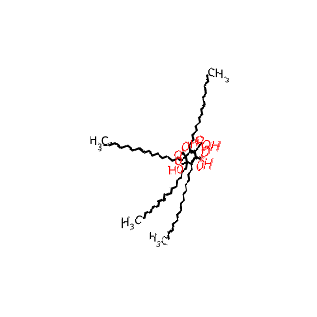 CCCCCCCCCCCCCCCCC1=C(C(=O)O)C(C(=O)O)=C(CCCCCCCCCCCCCCCC)C(CCCCCCCCCCCCCCCC)(C(=O)O)C1(CCCCCCCCCCCCCCCC)C(=O)O